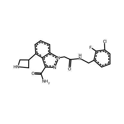 NC(=O)c1nn(CC(=O)NCc2cccc(Cl)c2F)c2cccc(C3CNC3)c12